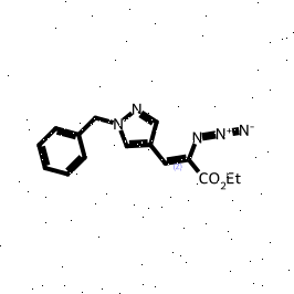 CCOC(=O)/C(=C/c1cnn(Cc2ccccc2)c1)N=[N+]=[N-]